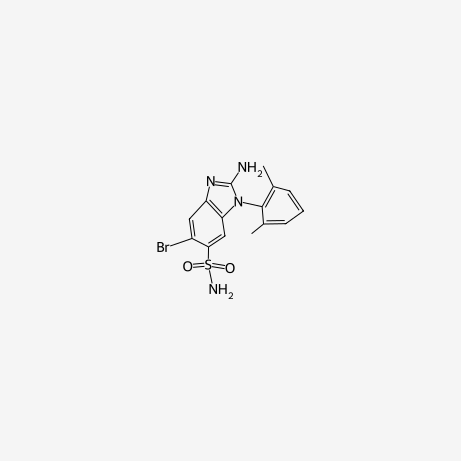 Cc1cccc(C)c1-n1c(N)nc2cc(Br)c(S(N)(=O)=O)cc21